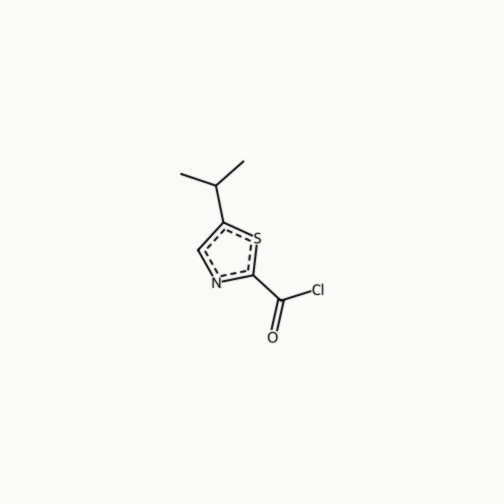 CC(C)c1cnc(C(=O)Cl)s1